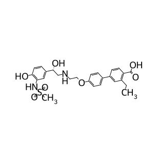 CCc1cc(-c2ccc(OCCNC[C@@H](O)c3ccc(O)c(NS(C)(=O)=O)c3)cc2)ccc1C(=O)O